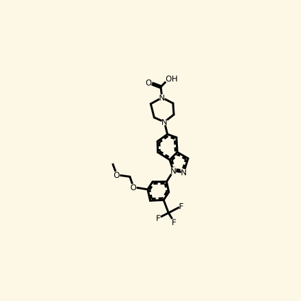 COCOc1cc(-n2ncc3cc(N4CCN(C(=O)O)CC4)ccc32)cc(C(F)(F)F)c1